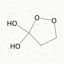 OC1(O)CCOO1